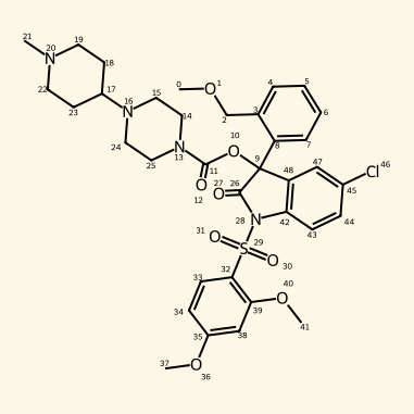 COCc1ccccc1C1(OC(=O)N2CCN(C3CCN(C)CC3)CC2)C(=O)N(S(=O)(=O)c2ccc(OC)cc2OC)c2ccc(Cl)cc21